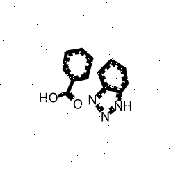 O=C(O)c1ccccc1.c1ccc2[nH]nnc2c1